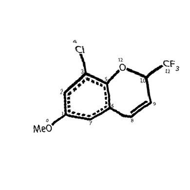 COc1cc(Cl)c2c(c1)C=CC(C(F)(F)F)O2